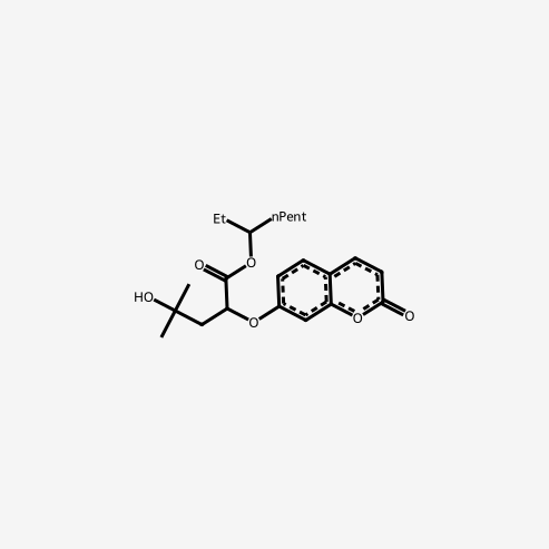 CCCCCC(CC)OC(=O)C(CC(C)(C)O)Oc1ccc2ccc(=O)oc2c1